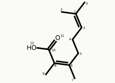 CC(C)=CCCC(C)=C(C)C(=O)O